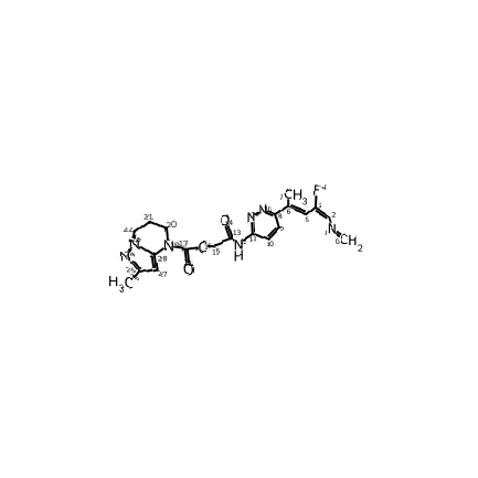 C=N/C=C(F)\C=C(/C)c1ccc(NC(=O)CCC(=O)N2CCCn3nc(C)cc32)nn1